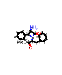 COC(=O)C(Cc1ccccc1)N1C(=O)C(N)C1c1ccccc1